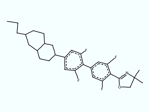 CCCC1CCC2CC(c3cc(F)c(-c4cc(F)c(C5=NC(C)(C)CO5)c(F)c4)c(F)c3)CCC2C1